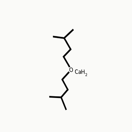 CC(C)CCOCCC(C)C.[CaH2]